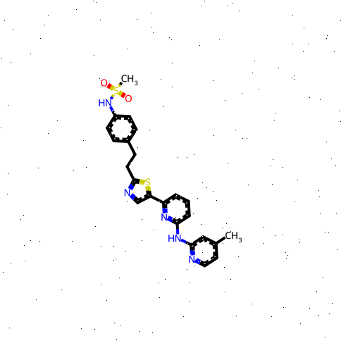 Cc1ccnc(Nc2cccc(-c3cnc(CCc4ccc(NS(C)(=O)=O)cc4)s3)n2)c1